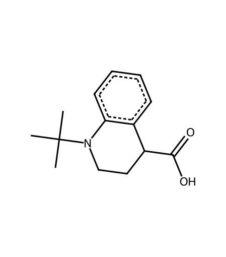 CC(C)(C)N1CCC(C(=O)O)c2ccccc21